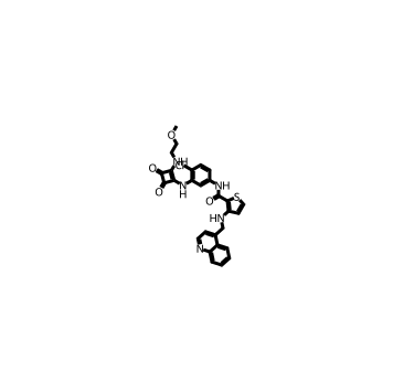 COCCNc1c(Nc2cc(NC(=O)c3sccc3NCc3ccnc4ccccc34)ccc2Cl)c(=O)c1=O